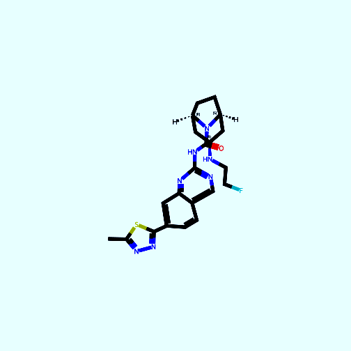 Cc1nnc(-c2ccc3cnc(NC(=O)N4[C@@H]5CC[C@H]4C[C@@H](NCCF)C5)nc3c2)s1